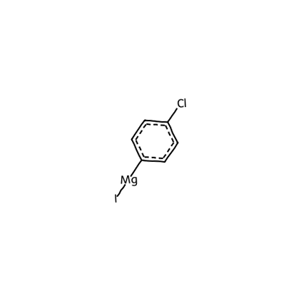 Clc1cc[c]([Mg][I])cc1